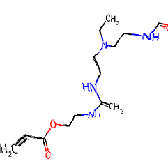 C=CC(=O)OCCNC(=C)NCCN(CC)CCNC=O